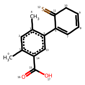 Cc1cc(C)c(C2=CC=CCC2=S)cc1C(=O)O